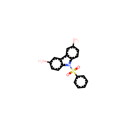 Bc1ccc2c(c1)c1cc(B)ccc1n2S(=O)(=O)c1ccccc1